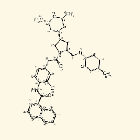 C[C@@H]1CN([C@H]2C[C@@H](CO[C@H]3CC[C@H](C)CC3)N(C(=O)Cc3ccc(NC(=O)c4nccc5ccccc45)c(Cl)c3)C2)C[C@H](C)O1